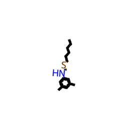 CCCCCCSCNc1cc(C)cc(C)c1